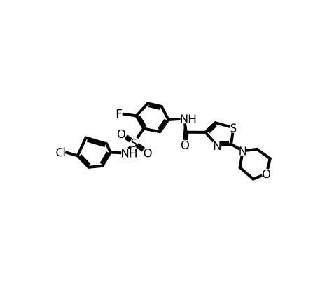 O=C(Nc1ccc(F)c(S(=O)(=O)Nc2ccc(Cl)cc2)c1)c1csc(N2CCOCC2)n1